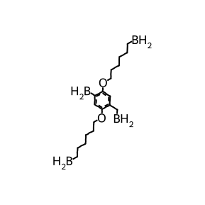 BCCCCCCOc1cc(CB)c(OCCCCCCB)cc1B